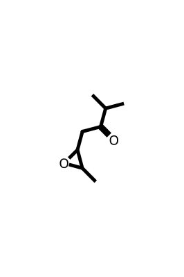 CC(C)C(=O)CC1OC1C